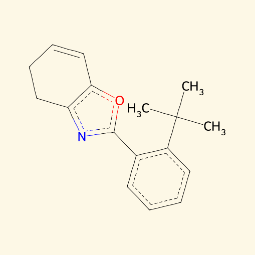 CC(C)(C)c1ccccc1-c1nc2c(o1)C=CCC2